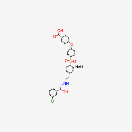 O=C(O)c1ccc(Oc2ccc(S(=O)(=O)c3ccc(CCNC[C@@H](O)c4cccc(Cl)c4)cc3)cc2)cc1.[NaH]